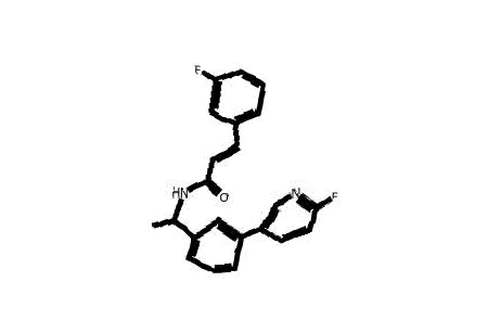 CC(NC(=O)C=Cc1cccc(F)c1)c1cccc(-c2ccc(F)nc2)c1